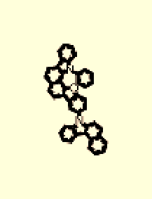 c1ccc(-n2c3ccccc3c3ccc4ccc5c6cc(-n7c8ccccc8c8c9ccccc9ccc87)ccc6oc5c4c32)cc1